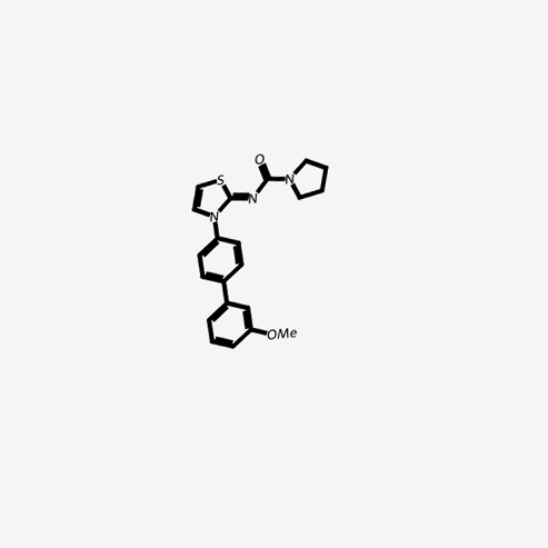 COc1cccc(-c2ccc(-n3ccsc3=NC(=O)N3CCCC3)cc2)c1